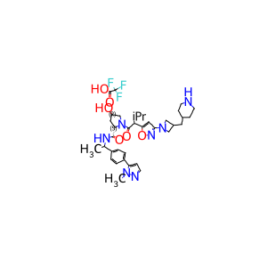 CC(NC(=O)[C@@H]1C[C@@H](O)CN1C(=O)C(c1cc(N2CC(CC3CCNCC3)C2)no1)C(C)C)c1ccc(-c2ccnn2C)cc1.O=C(O)C(F)(F)F